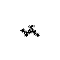 Cn1cc(-c2cn3nccc3c(-c3ccc4c(c3)CN(C(=O)O)CC[C@H]4NC(=O)c3cn(C(C)(C)C)nn3)n2)cn1